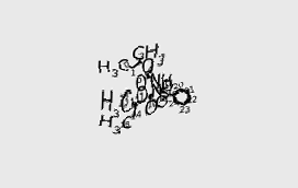 CCC(C)OC(=O)NN(C(=O)OC(C)CC)S(=O)(=O)c1ccccc1